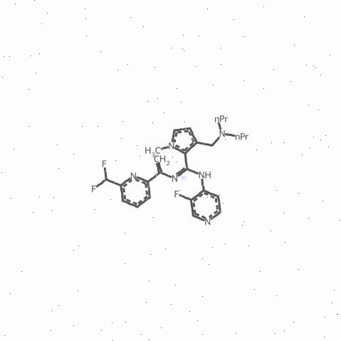 C=C(/N=C(/Nc1ccncc1F)c1c(CN(CCC)CCC)ccn1C)c1cccc(C(F)F)n1